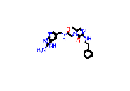 Cc1cnc(NCCc2ccccc2)c(=O)n1CC(=O)NCc1cnc2nc(N)[nH]c2c1